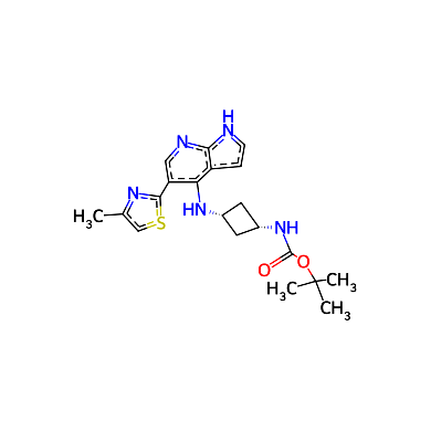 Cc1csc(-c2cnc3[nH]ccc3c2N[C@H]2C[C@@H](NC(=O)OC(C)(C)C)C2)n1